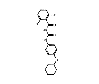 O=C(NC(=O)c1c(F)cccc1F)Nc1ccc(OC2CCCCC2)cc1